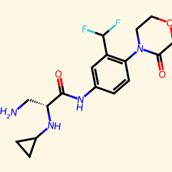 NC[C@@H](NC1CC1)C(=O)Nc1ccc(N2CCOCC2=O)c(C(F)F)c1